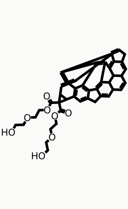 O=C(OCCOCCO)C1(C(=O)OCCOCCO)C2c3cc4c5c6c7c8c9c%10c%11c(cc(c%12c%11c8c5c3-%12)C21)CC%10=CC1C=CC(C=C6C4)C7C91